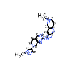 CN1CCc2ncc(Nc3ncc4c(n3)CN(c3cnn(C)c3)CC4)cc2C1